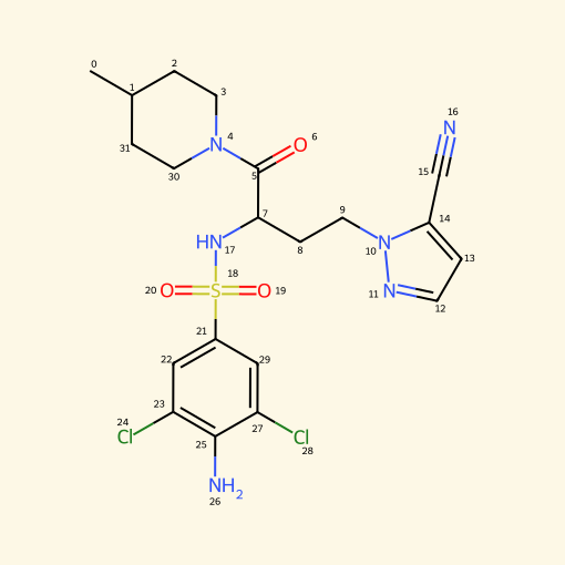 CC1CCN(C(=O)C(CCn2nccc2C#N)NS(=O)(=O)c2cc(Cl)c(N)c(Cl)c2)CC1